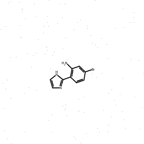 Nc1cc(Br)ccc1-c1ncc[nH]1